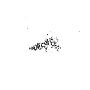 CCc1cc(S(=O)(=O)N2CCNCC2)ccc1OC(=O)[C@H](CC)c1ccc(N2CCCC2)cc1